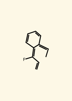 C=C/C(F)=c1/cccc/c1=C/C